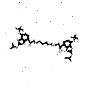 CC(C)Oc1nc2c(OC(C)(C)C)ccc(C(O)CNCCCCCNC[C@H](O)c3ccc(OC(C)(C)C)c4nc(OC(C)C)sc34)c2s1